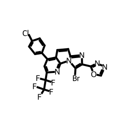 FC(F)(F)C(F)(F)c1cc(-c2ccc(Cl)cc2)c2ccc3nc(-c4nnco4)c(Br)n3c2n1